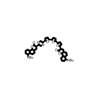 CCCCc1cccc2c1ccc1cc(-c3cnc(-c4ccc(-c5ccc(-c6ccc(-c7cc8ccc9c(CCCC)cccc9c8oc7=O)o6)o5)o4)cn3)c(=O)oc12